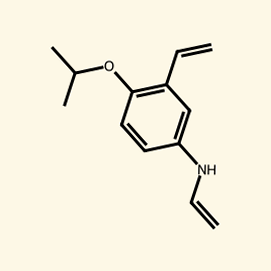 C=CNc1ccc(OC(C)C)c(C=C)c1